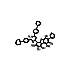 N/C(=N\C(=N/Cc1ccc(-c2ccccc2)cc1)c1c(O)c(O)c(O)c2c1sc1c(O)c(-c3ccccc3)c(O)c(O)c12)C1=CC=C(c2ccccc2)CC1